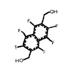 OCc1c(F)c(F)c2c(F)c(CO)c(F)c(F)c2c1F